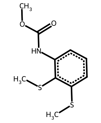 COC(=O)Nc1cccc(SC)c1SC